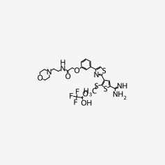 CSc1sc(C(=N)N)cc1-c1nc(-c2cccc(OCC(=O)NCCN3CCOCC3)c2)cs1.O=C(O)C(F)(F)F